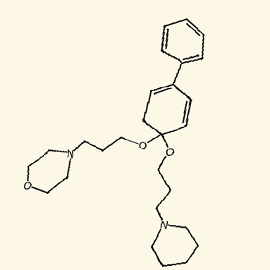 C1=CC(OCCCN2CCCCC2)(OCCCN2CCOCC2)CC=C1c1ccccc1